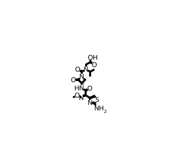 CON=C(C(=O)N[C@H]1CN(C(=O)N(CC(=O)O)C(C)C)C1=O)c1csc(N)n1